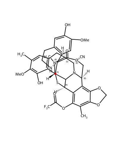 COc1cc2c(cc1O)CCN[C@]21CS[C@@H]2c3c(OC(=O)C(F)(F)F)c(C)c4c(c3[C@H](COC1=O)N1C2[C@@H]2c3c(cc(C)c(OC)c3O)C[C@@H]([C@@H]1C#N)N2C)OCO4